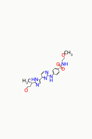 COCCNS(=O)(=O)c1ccc(Nc2nccc(-c3cnc(C(C)CC=O)[nH]3)n2)cc1